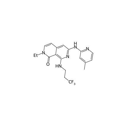 CCn1ccc2cc(Nc3cc(C)ccn3)nc(NCCC(F)(F)F)c2c1=O